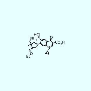 CCO/N=C1\CN(c2cc3c(cc2F)c(=O)c(C(=O)O)cn3C2CC2)CC1(C)CN.Cl